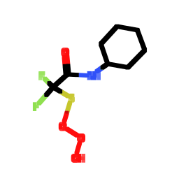 O=C(NC1CCCCC1)C(F)(F)SOOO